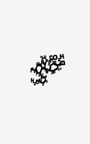 Cn1cccc1-c1cc(F)cc2c1c(Sc1ccc(Cl)cc1)c1n2CC[C@@H]1CC(=O)O